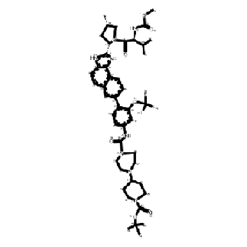 COC(=O)N[C@H](C(=O)N1C[C@@H](C)C[C@H]1c1nc2c(ccc3cc(-c4ccc(NC(=O)N5CCN(C6CCN(C(=O)OC(C)(C)C)CC6)CC5)cc4OC(F)(F)F)ccc32)[nH]1)C(C)C